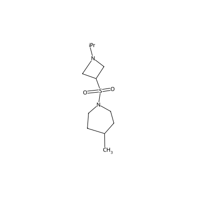 CC1CCN(S(=O)(=O)C2CN(C(C)C)C2)CC1